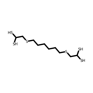 SC(S)CSCCCCCCSCC(S)S